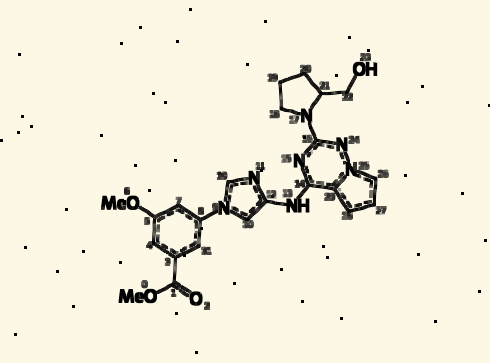 COC(=O)c1cc(OC)cc(-n2cnc(Nc3nc(N4CCCC4CO)nn4cccc34)c2)c1